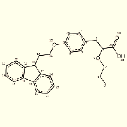 CCCOC(Cc1ccc(OCCC2c3ccccc3-c3ccccc32)cc1)C(=O)O